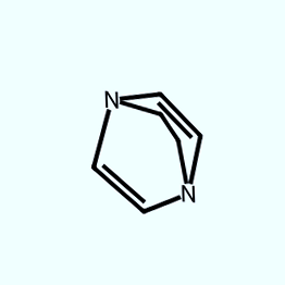 C1=CN2C=CN1CC2